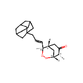 C[C@H]1C(=O)C[C@@H]2C[C@H]1OO[C@@]2(C)C=CCC12CC3CC(CC(C3)C1)C2